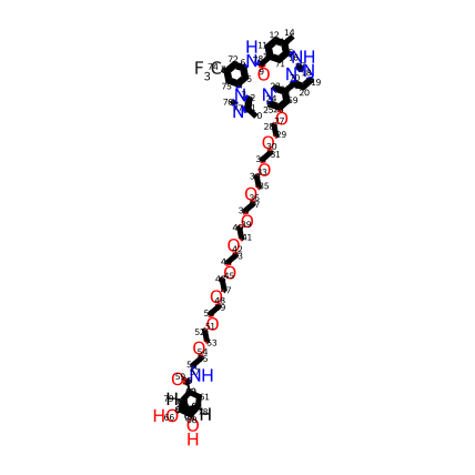 Cc1cn(-c2cc(NC(=O)c3ccc(C)c(Nc4nccc(-c5cncc(OCCOCCOCCOCCOCCOCCOCCOCCOCCOCCNC(=O)[C@H]6C[C@@H]7C[C@H]6[C@@H](O)[C@H]7O)c5)n4)c3)cc(C(F)(F)F)c2)cn1